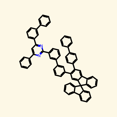 c1ccc(-c2ccc(-c3cc4c(cc3-c3cccc(-c5cccc(-c6nc(-c7ccccc7)cc(-c7cccc(-c8ccccc8)c7)n6)c5)c3)C3(c5ccccc5-c5ccccc53)c3ccccc3-4)cc2)cc1